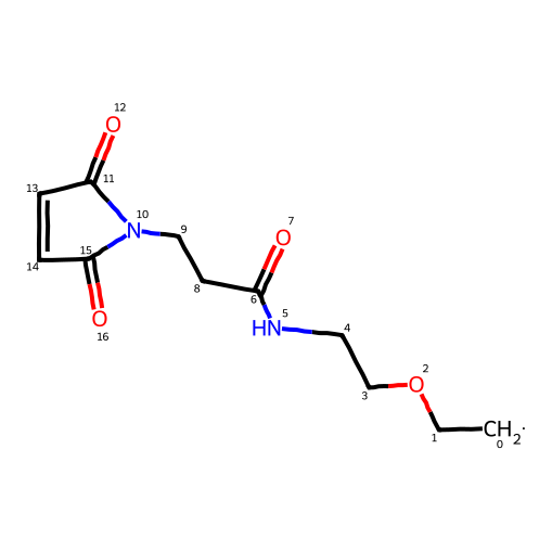 [CH2]COCCNC(=O)CCN1C(=O)C=CC1=O